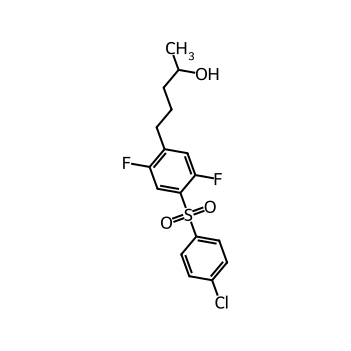 CC(O)CCCc1cc(F)c(S(=O)(=O)c2ccc(Cl)cc2)cc1F